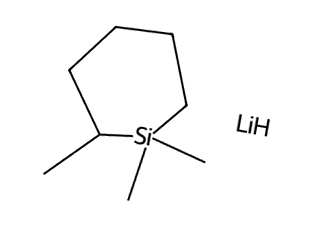 CC1CCCC[Si]1(C)C.[LiH]